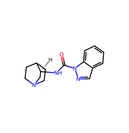 O=C(N[C@H]1CN2CCC1CC2)n1ncc2ccccc21